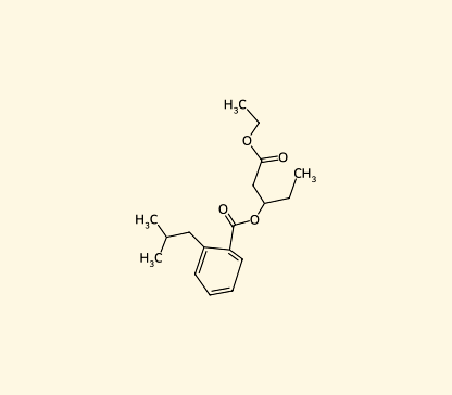 CCOC(=O)CC(CC)OC(=O)c1ccccc1CC(C)C